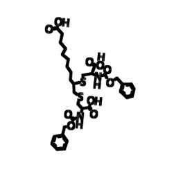 O=C(O)CCCCCCCCC(CSCC(NC(=O)OCc1ccccc1)C(=O)O)SCC(NC(=O)OCc1ccccc1)C(=O)O